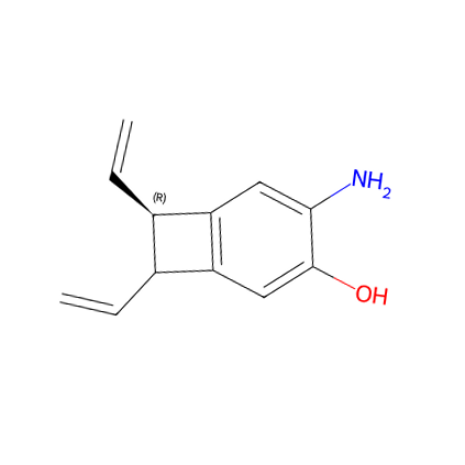 C=CC1c2cc(O)c(N)cc2[C@@H]1C=C